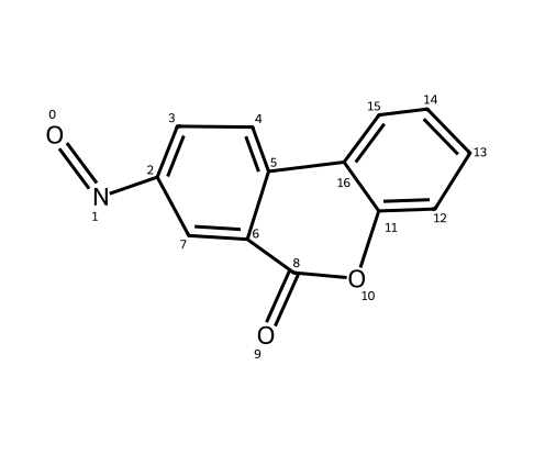 O=Nc1ccc2c(c1)c(=O)oc1ccccc12